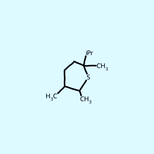 CC1CCC(C)(C(C)C)SC1C